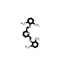 Cc1cccc(C)c1N=Cc1cccc(C=Nc2c(C)cccc2C)n1